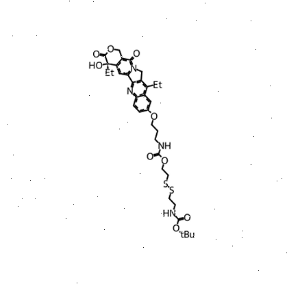 CCc1c2c(nc3ccc(OCCCNC(=O)OCCSSCCNC(=O)OC(C)(C)C)cc13)-c1cc3c(c(=O)n1C2)COC(=O)[C@]3(O)CC